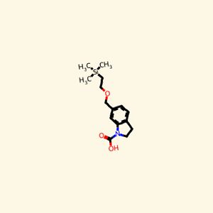 C[Si](C)(C)CCOCc1ccc2c(c1)N(C(=O)O)CC2